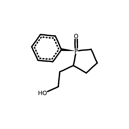 O=[P@]1(c2ccccc2)CCCC1CCO